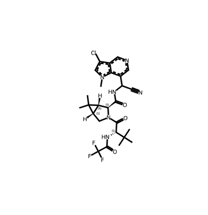 Cn1cc(Cl)c2cncc(C(C#N)NC(=O)[C@@H]3[C@@H]4[C@H](CN3C(=O)[C@@H](NC(=O)C(F)(F)F)C(C)(C)C)C4(C)C)c21